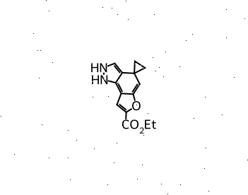 CCOC(=O)c1cc2c(o1)=CC1(CC1)C1=CNNC=21